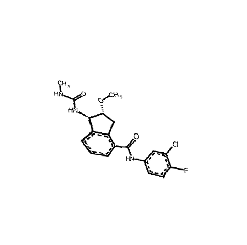 CNC(=O)N[C@@H]1c2cccc(C(=O)Nc3ccc(F)c(Cl)c3)c2C[C@H]1OC